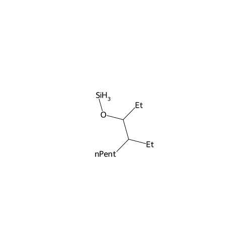 CCCCCC(CC)C(CC)O[SiH3]